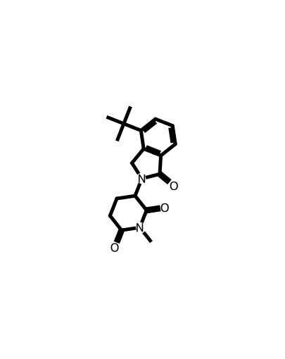 CN1C(=O)CCC(N2Cc3c(cccc3C(C)(C)C)C2=O)C1=O